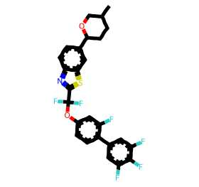 CC1CCC(c2ccc3nc(C(F)(F)Oc4ccc(-c5cc(F)c(F)c(F)c5)c(F)c4)sc3c2)OC1